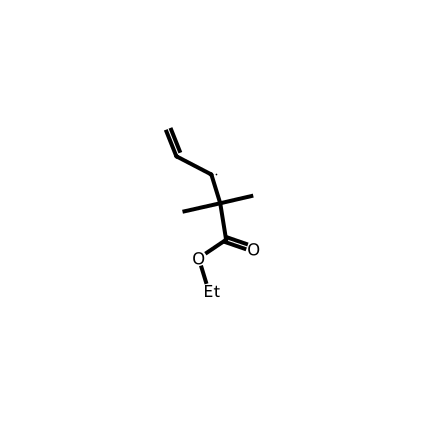 C=C[CH]C(C)(C)C(=O)OCC